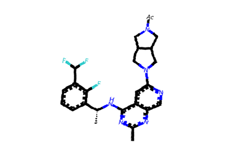 CC(=O)N1CC2CN(c3cc4c(N[C@H](C)c5cccc(C(F)F)c5F)nc(C)nc4cn3)CC2C1